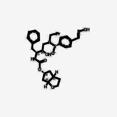 CC(C)CN(C[C@@H](O)[C@H](Cc1ccccc1)NC(=O)O[C@@H]1C[C@@H]2CCO[C@@H]2C1)[S+]([O-])c1ccc(/C=N/O)cc1